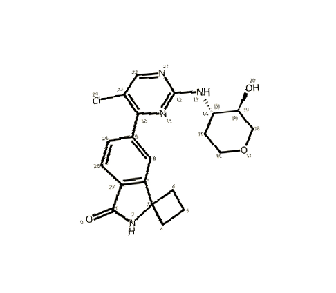 O=C1NC2(CCC2)c2cc(-c3nc(N[C@H]4CCOC[C@@H]4O)ncc3Cl)ccc21